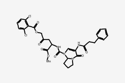 CC(C)(C)OC(=O)C(CC(=O)COC(=O)c1c(Cl)cccc1Cl)NC(=O)N1C=C(NC(=O)CCc2ccccc2)C(=O)N2CCCC12